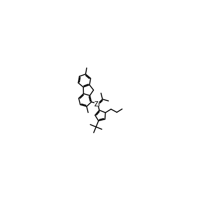 CCCC1C=C(C(C)(C)C)C=[C]1[Zr](=[C](C)C)[c]1c(C)ccc2c1Cc1cc(C)ccc1-2